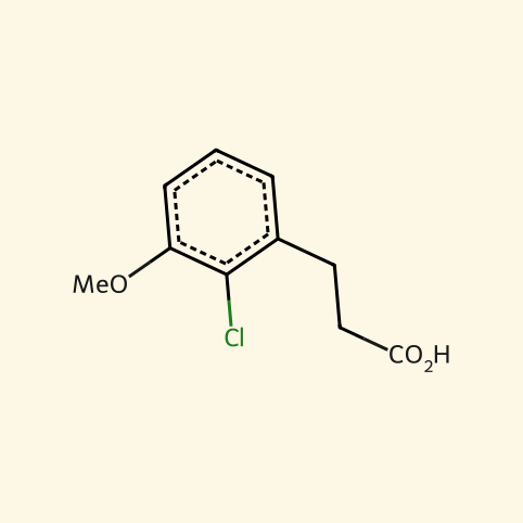 COc1cccc(CCC(=O)O)c1Cl